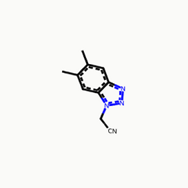 Cc1cc2nnn(CC#N)c2cc1C